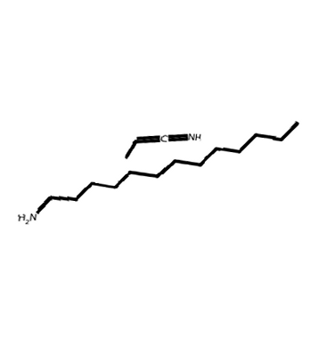 CC=C=N.CCCCCCCCCCCCCN